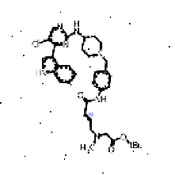 CN(C/C=C/C(=O)Nc1ccc(CN2CCC(Nc3ncc(Cl)c(-c4c[nH]c5ccccc45)n3)CC2)cc1)CC(=O)OC(C)(C)C